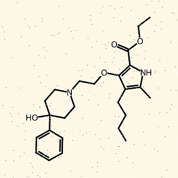 CCCCc1c(C)[nH]c(C(=O)OCC)c1OCCN1CCC(O)(c2ccccc2)CC1